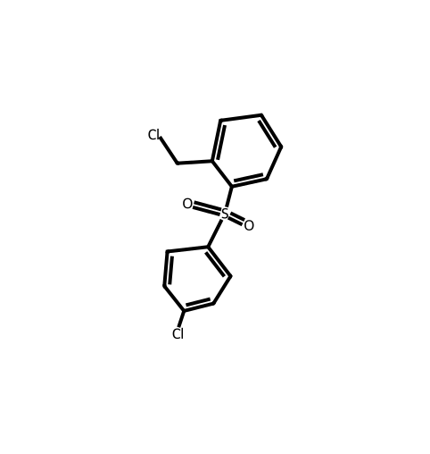 O=S(=O)(c1ccc(Cl)cc1)c1ccccc1CCl